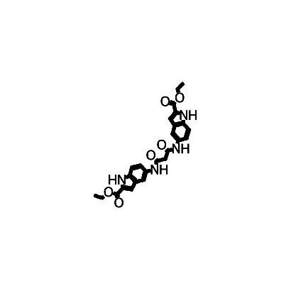 CCOC(=O)c1cc2cc(NC(=O)CC(=O)Nc3ccc4[nH]c(C(=O)OCC)cc4c3)ccc2[nH]1